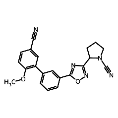 COc1ccc(C#N)cc1-c1cccc(-c2nc(C3CCCN3C#N)no2)c1